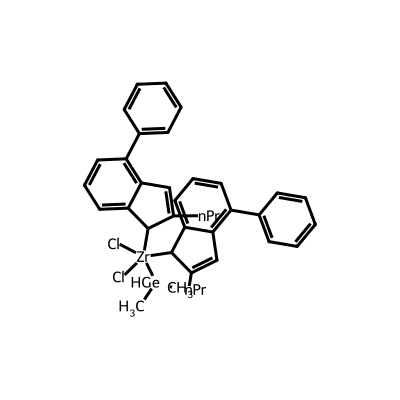 CCCC1=Cc2c(-c3ccccc3)cccc2[CH]1[Zr]([Cl])([Cl])([CH]1C(CCC)=Cc2c(-c3ccccc3)cccc21)[GeH]([CH3])[CH3]